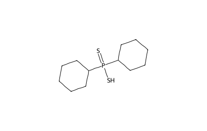 S=P(S)(C1CCCCC1)C1CCCCC1